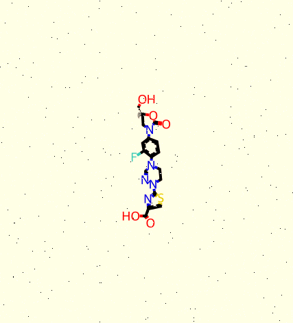 O=C(O)c1csc(N2CCN(c3ccc(N4C[C@H](CO)OC4=O)cc3F)C=N2)n1